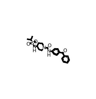 CC(C)S(=O)(=O)NC1CCN(C(=O)Nc2ccc(C(=O)c3ccccc3)cc2)CC1